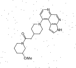 COC1CCCN(C(=O)CC2CCN(c3ccnc4cnc5[nH]ccc5c34)CC2)C1